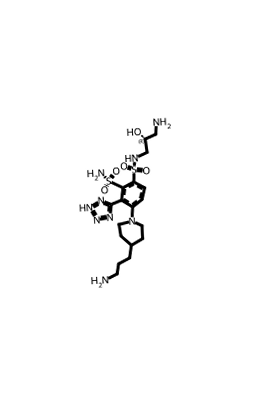 NCCCC1CCN(c2ccc(S(=O)(=O)NC[C@H](O)CN)c(S(N)(=O)=O)c2-c2nn[nH]n2)CC1